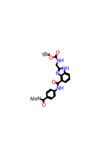 CNC(=O)c1ccc(NC(=O)c2cccc3[nH]c(CNC(=O)OC(C)(C)C)nc23)cc1